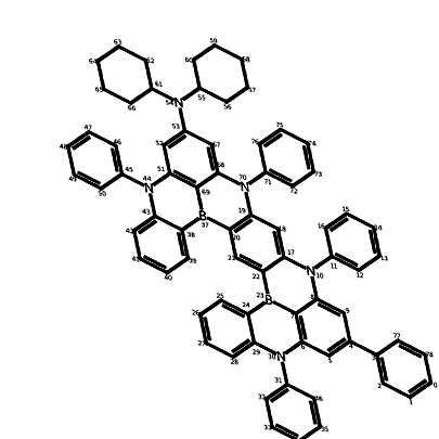 c1ccc(-c2cc3c4c(c2)N(c2ccccc2)c2cc5c(cc2B4c2ccccc2N3c2ccccc2)B2c3ccccc3N(c3ccccc3)c3cc(N(C4CCCCC4)C4CCCCC4)cc(c32)N5c2ccccc2)cc1